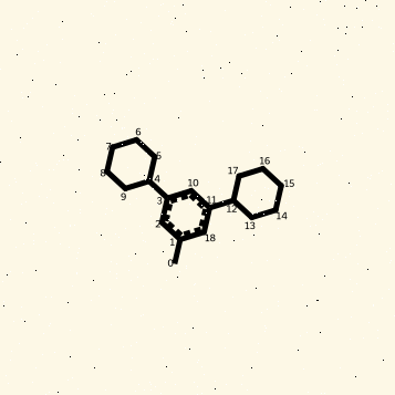 Cc1cc(C2CCCCC2)cc(C2CCCCC2)c1